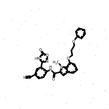 Cn1c(C(=O)Nc2ccc(C#N)cc2-c2noc(=O)[nH]2)cc2cccc(OCCCOc3ccccc3)c21